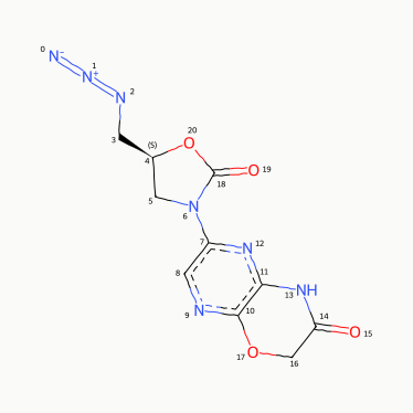 [N-]=[N+]=NC[C@@H]1CN(c2cnc3c(n2)NC(=O)CO3)C(=O)O1